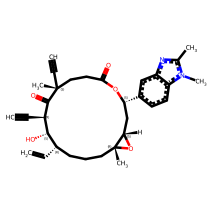 C#C[C@H]1C(=O)[C@](C)(C#C)CCC(=O)O[C@H](c2ccc3c(c2)nc(C)n3C)C[C@@H]2O[C@]2(C)CCC[C@H](C=C)[C@@H]1O